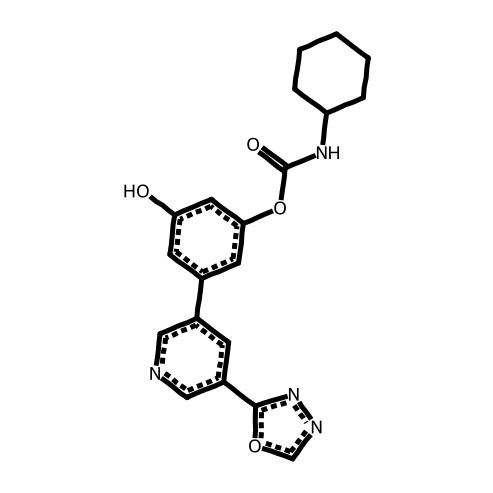 O=C(NC1CCCCC1)Oc1cc(O)cc(-c2cncc(-c3nnco3)c2)c1